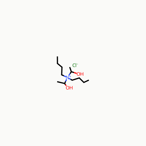 CCCC[N+](CCCC)(C(C)O)C(C)O.[Cl-]